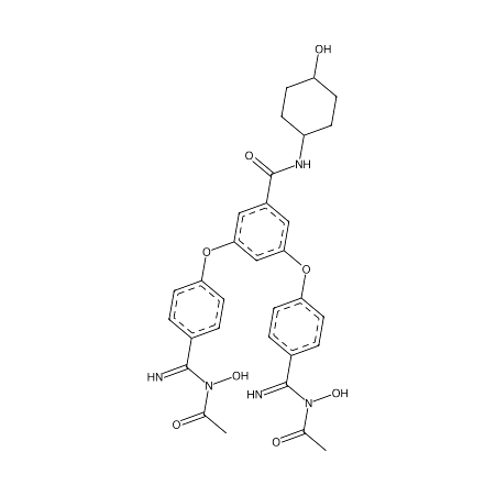 CC(=O)N(O)C(=N)c1ccc(Oc2cc(Oc3ccc(C(=N)N(O)C(C)=O)cc3)cc(C(=O)NC3CCC(O)CC3)c2)cc1